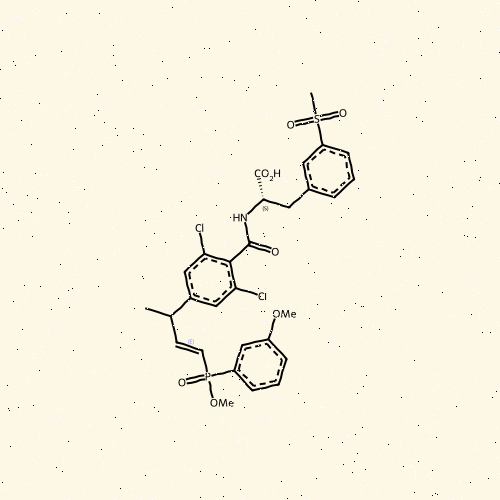 COc1cccc(P(=O)(/C=C/C(C)c2cc(Cl)c(C(=O)N[C@@H](Cc3cccc(S(C)(=O)=O)c3)C(=O)O)c(Cl)c2)OC)c1